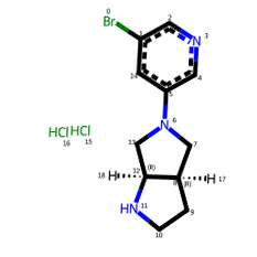 Brc1cncc(N2C[C@H]3CCN[C@H]3C2)c1.Cl.Cl